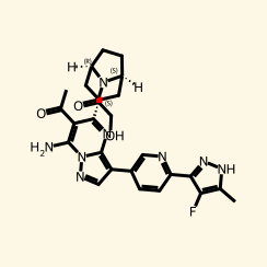 CC(=O)c1c([C@@H]2C[C@H]3CC[C@@H](C2)N3C(=O)CO)nc2c(-c3ccc(-c4n[nH]c(C)c4F)nc3)cnn2c1N